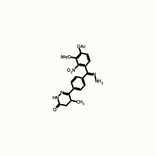 COc1c(OC(C)=O)ccc(C(=NN)c2ccc(C3=NNC(=O)CC3C)cc2)c1[N+](=O)[O-]